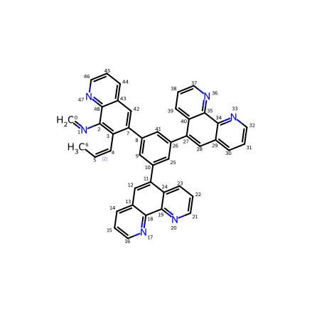 C=Nc1c(/C=C\C)c(-c2cc(-c3cc4cccnc4c4ncccc34)cc(-c3cc4cccnc4c4ncccc34)c2)cc2cccnc12